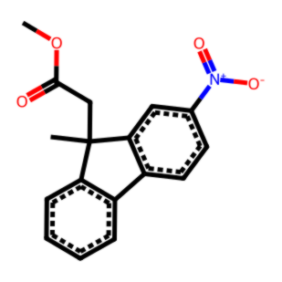 COC(=O)CC1(C)c2ccccc2-c2ccc([N+](=O)[O-])cc21